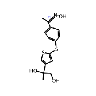 C/C(=N/O)c1ccc(Sc2cc(C(C)(O)CO)cs2)cc1